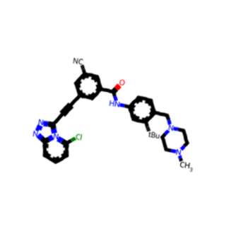 CN1CCN(Cc2ccc(NC(=O)c3cc(C#N)cc(C#Cc4nnc5cccc(Cl)n45)c3)cc2C(C)(C)C)CC1